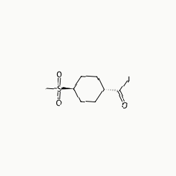 CS(=O)(=O)[C@H]1CC[C@H](C(=O)I)CC1